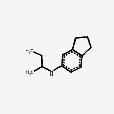 CCC(C)Nc1ccc2c(c1)CCC2